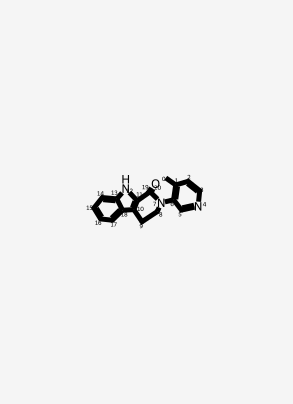 Cc1ccncc1N1CCc2c([nH]c3ccccc23)C1=O